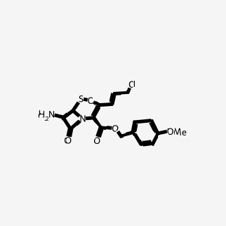 COc1ccc(COC(=O)C2=C(C=CCCl)CSC3C(N)C(=O)N23)cc1